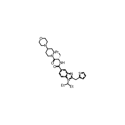 CCC(CC)n1c(Cc2cccs2)nc2cc(C(=O)N[C@@H](CC(C)C)C(=O)N3CCC(N4CCOCC4)CC3)ccc21